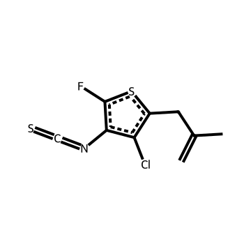 C=C(C)Cc1sc(F)c(N=C=S)c1Cl